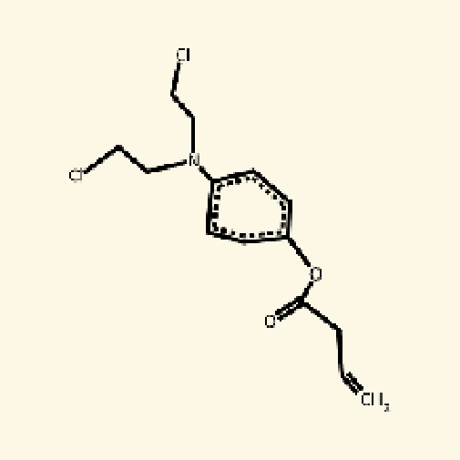 C=CCC(=O)Oc1ccc(N(CCCl)CCCl)cc1